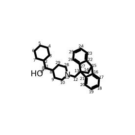 O[C@H](C1CCCCC1)C1CCN(CC23CC(c4ccccc42)c2ccccc23)CC1